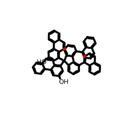 Oc1cc(C2(c3cc(O)cc4c3ccc3ccccc34)c3cccc(-c4cccc5ccccc45)c3-c3c(-c4cccc5ccccc45)cccc32)c2ccc3ccccc3c2c1